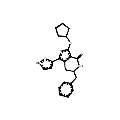 O=C1NC(Cc2ccccc2)Cc2c(-c3cc[nH]n3)sc(NC3CCCC3)c21